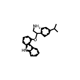 CC(C)c1ccc(C(CN)Oc2cccc3[nH]c4ccccc4c23)cc1